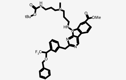 COC(=O)c1ccc2c3cnc(Cc4cccc(C(OCc5ccccc5)C(F)(F)F)c4)nc3n(NCCCN(C)CCCNC(=O)OC(C)(C)C)c2c1